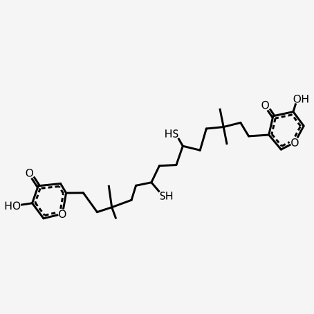 CC(C)(CCc1cc(=O)c(O)co1)CCC(S)CCC(S)CCC(C)(C)CCc1cocc(O)c1=O